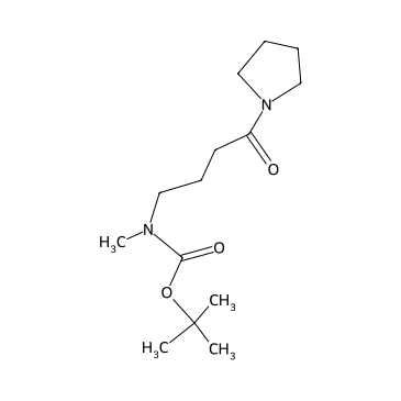 CN(CCCC(=O)N1CCCC1)C(=O)OC(C)(C)C